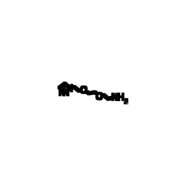 NCCOCCOCCn1ccnn1